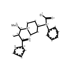 CCC(=O)N(c1ccccc1)C1CCN(C(OC)C(C)C(=O)c2cccs2)CC1